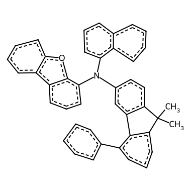 CC1(C)c2ccc(N(c3cccc4ccccc34)c3cccc4c3oc3ccccc34)cc2-c2c(-c3ccccc3)cccc21